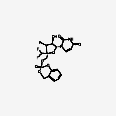 O=c1ccn([C@@H]2O[C@@](COP3(=O)OCc4ccccc4O3)(C(F)F)[C@@H](F)[C@H]2O)c(=O)[nH]1